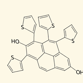 Oc1cc2ccc3c(-c4cccs4)c(O)c(-c4cccs4)c4c(-c5cccs5)c(-c5cccs5)c(c1)c2c34